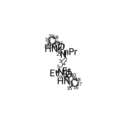 CCCN(CCCC[N+](CC)(CC)CC(=O)Nc1c(C)cccc1C)CC(=O)Nc1c(C)cccc1C